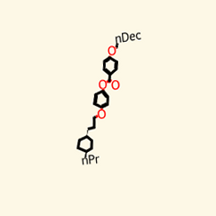 CCCCCCCCCCCOc1ccc(C(=O)Oc2ccc(OCCC[C@H]3CC[C@H](CCC)CC3)cc2)cc1